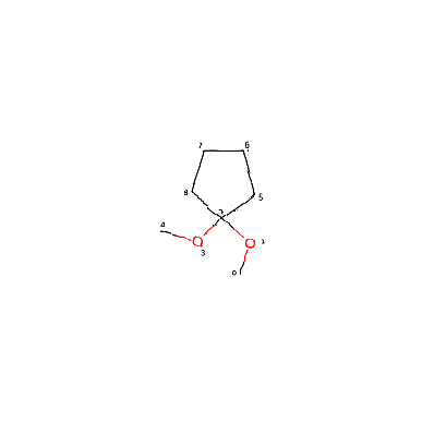 COC1(OC)C[CH]CC1